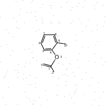 C=C(C)Oc1ccccc1C